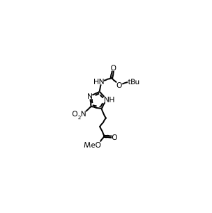 COC(=O)CCc1[nH]c(NC(=O)OC(C)(C)C)nc1[N+](=O)[O-]